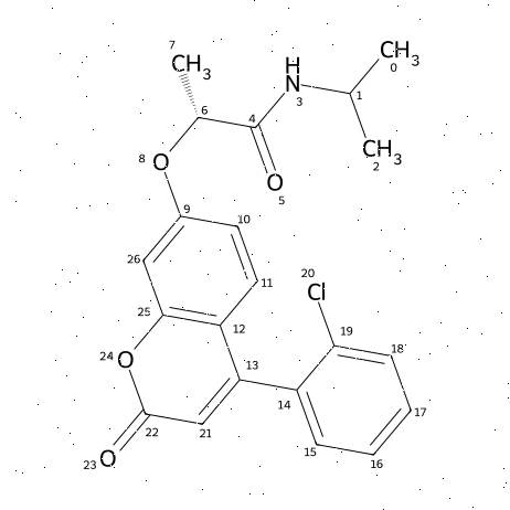 CC(C)NC(=O)[C@@H](C)Oc1ccc2c(-c3ccccc3Cl)cc(=O)oc2c1